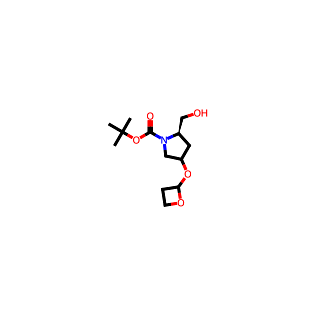 CC(C)(C)OC(=O)N1CC(OC2CCO2)C[C@@H]1CO